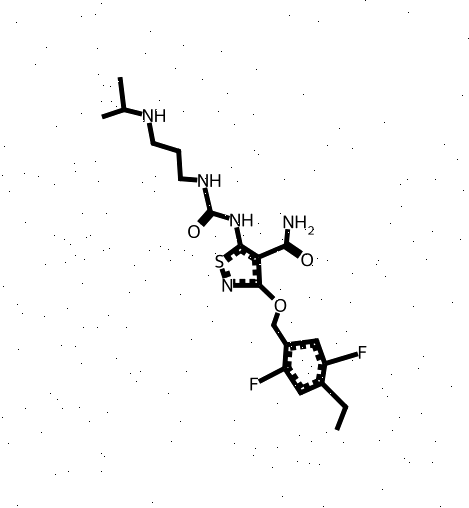 CCc1cc(F)c(COc2nsc(NC(=O)NCCCNC(C)C)c2C(N)=O)cc1F